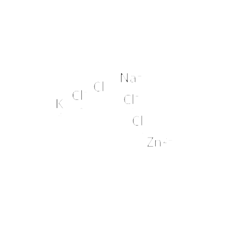 [Cl-].[Cl-].[Cl-].[Cl-].[K+].[Na+].[Zn+2]